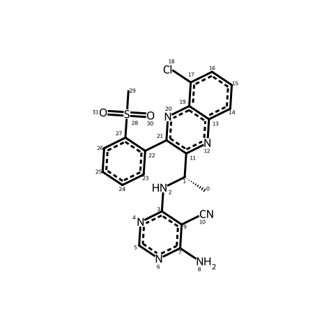 C[C@H](Nc1ncnc(N)c1C#N)c1nc2cccc(Cl)c2nc1-c1ccccc1S(C)(=O)=O